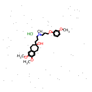 COc1cccc(OCCCN(C)CCCC2(O)CCc3cc(OC)c(OC)cc3CC2)c1.Cl